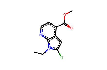 CCn1c(Cl)cc2c(C(=O)OC)ccnc21